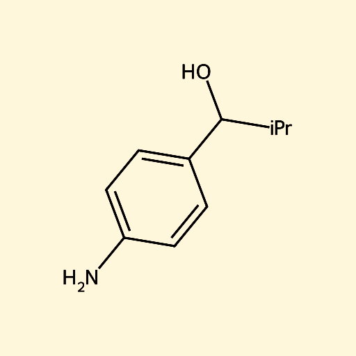 CC(C)C(O)c1ccc(N)cc1